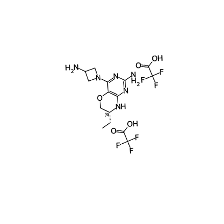 CC[C@@H]1COc2c(nc(N)nc2N2CC(N)C2)N1.O=C(O)C(F)(F)F.O=C(O)C(F)(F)F